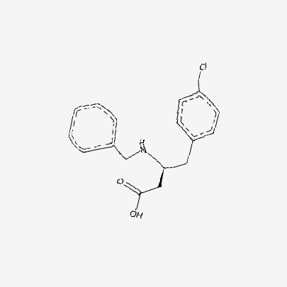 O=C(O)C[C@H](Cc1ccc(Cl)cc1)NCc1ccccc1